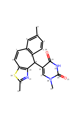 Cc1ccc2c(c1)C=Cc1sc(C)nc1C2c1cn(C)c(=O)[nH]c1=O